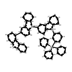 c1ccc([Si](c2ccccc2)(c2ccccc2)c2cccc(-n3c4ccccc4c4cc(-n5c6ccccc6c6cc(-c7cccc8sc9ccccc9c78)ccc65)ccc43)c2)cc1